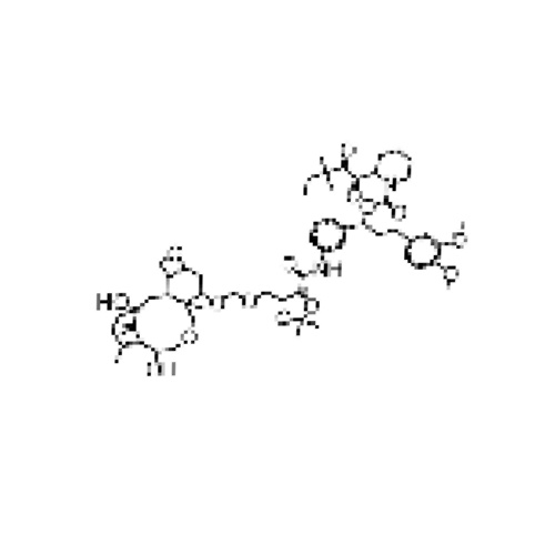 CCC(C)(C)C(=O)C(=O)C1CCCCN1C(=O)OC(CCc1ccc(OC)c(OC)c1)c1cccc(NC(=O)[C@@H]2OC(C)(C)OC2COCOC2CC3OCC3C3CC4(O)CCC(C)=C(C(O)COCC23C)C4(C)C)c1